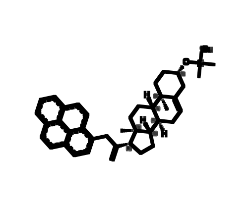 C=C(Cc1ccc2ccc3cccc4ccc1c2c34)[C@H]1CC[C@H]2[C@@H]3CC=C4C[C@@H](O[Si](C)(C)C(C)(C)C)CC[C@]4(C)[C@H]3CC[C@]12C